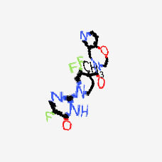 CC1(C(=O)N2CCOc3ccncc3C2)CCN(c2ncc(F)c(=O)[nH]2)CC1(F)F